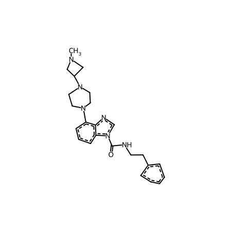 CN1CC(N2CCN(c3cccc4c3ncn4C(=O)NCCc3ccccc3)CC2)C1